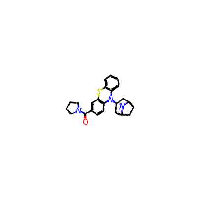 CN1C2CCC1CC(N1c3ccccc3Sc3cc(C(=O)N4CCCC4)ccc31)C2